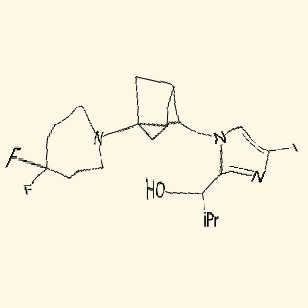 CC(C)C(O)c1nc(I)cn1C1CC2(N3CCC(F)(F)CC3)CC1C2